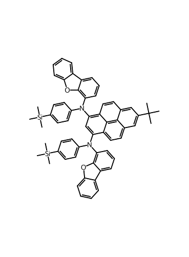 CC(C)(C)c1cc2ccc3c(N(c4ccc([Si](C)(C)C)cc4)c4cccc5c4oc4ccccc45)cc(N(c4ccc([Si](C)(C)C)cc4)c4cccc5c4oc4ccccc45)c4ccc(c1)c2c34